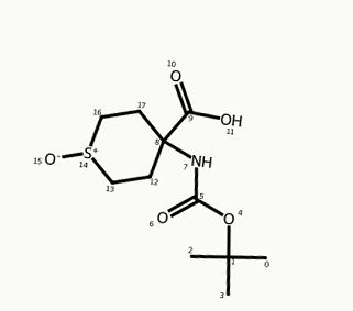 CC(C)(C)OC(=O)NC1(C(=O)O)CC[S+]([O-])CC1